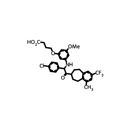 COc1cc(NC(C(=O)C2CCc3cc(C(F)(F)F)cc(C)c3CC2)c2ccc(Cl)cc2)cc(OCCCC(=O)O)c1